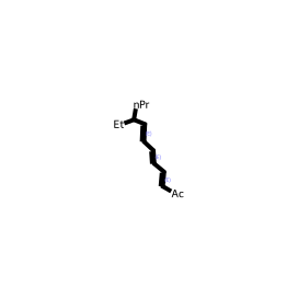 CCCC(/C=C/C=C/C=C/C(C)=O)CC